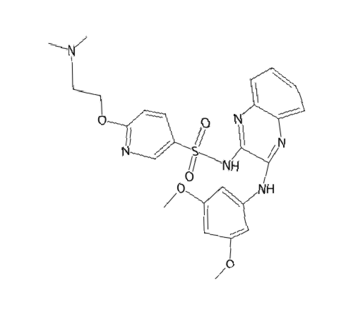 COc1cc(Nc2nc3ccccc3nc2NS(=O)(=O)c2ccc(OCCN(C)C)nc2)cc(OC)c1